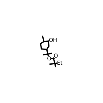 CCC(C)(C)C(=O)OC(C)(C)C1CCC(C)C(O)C1